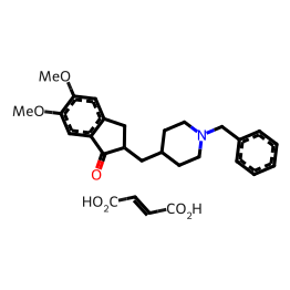 COc1cc2c(cc1OC)C(=O)C(CC1CCN(Cc3ccccc3)CC1)C2.O=C(O)C=CC(=O)O